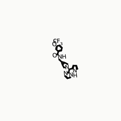 O=C(NCC1C2CN(C(c3ncccn3)c3ccc[nH]3)CC12)c1cccc(OC(F)(F)F)c1